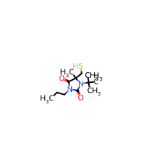 CCCN1C(=O)N(C(C)(C)C)C(C)(CS)C1=O